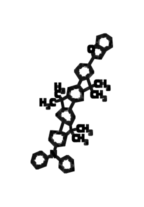 CC1(C)c2cc(-c3cc4ccccc4o3)ccc2-c2cc3c(cc21)-c1cc2c(cc1C3(C)C)-c1ccc(N(c3ccccc3)c3ccccc3)cc1C2(C)C